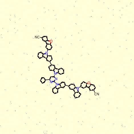 N#Cc1ccc2oc3ccc(-n4c5ccccc5c5cc(-c6ccc7c(c6)c6ccccc6n7-c6cc(-c7ccccc7)nc(-n7c8ccccc8c8cc(-c9ccc%10c(c9)c9ccccc9n%10-c9ccc%10oc%11ccc(C#N)cc%11c%10c9)ccc87)n6)ccc54)cc3c2c1